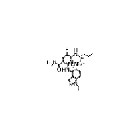 CCC[C@@H](Nc1nc(Nc2cccc3c2cnn3CC)c(C(N)=O)cc1F)[C@H](C)N